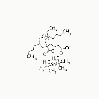 CCCCC(CC)CC(CCCC(=O)[O-])(CC(CC)CCCC)C(=O)[O-].C[C](C)(C)[Sn+2][C](C)(C)C